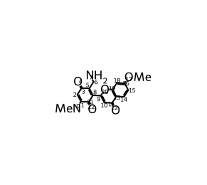 CNC1=CC(=O)C(CN)=C(c2cc(=O)c3ccc(OC)cc3o2)C1=O